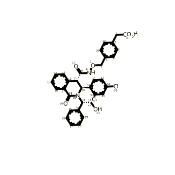 O=C(O)Cc1ccc(CONC(=O)[C@H]2c3ccccc3C(=O)N([C@H](CO)c3ccccc3)[C@@H]2c2ccc(Cl)cc2Cl)cc1